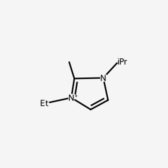 CC[n+]1ccn(C(C)C)c1C